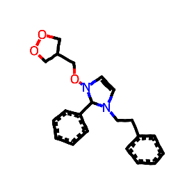 C1=CN(OCC2COOC2)C(c2ccccc2)N1CCc1ccccc1